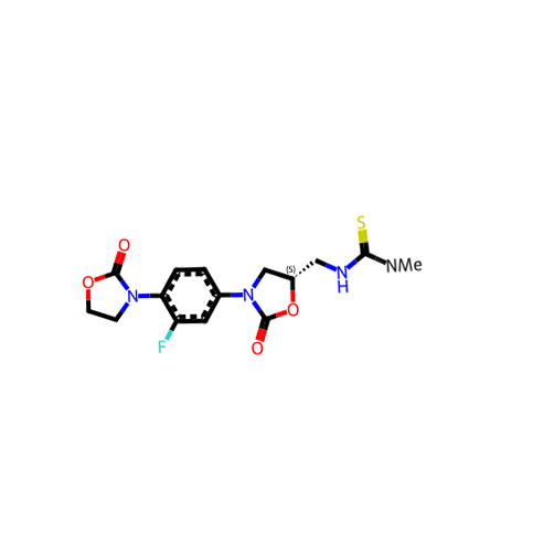 CNC(=S)NC[C@H]1CN(c2ccc(N3CCOC3=O)c(F)c2)C(=O)O1